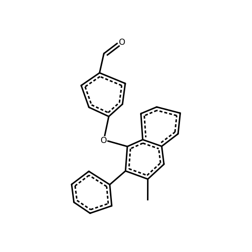 Cc1cc2ccccc2c(Oc2ccc(C=O)cc2)c1-c1ccccc1